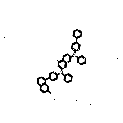 CC1C=Cc2cccc(-c3ccc(N(c4ccccc4)c4ccc5ccc(N(c6ccccc6)c6ccc(-c7ccccc7)cc6)cc5c4)cc3)c2C1